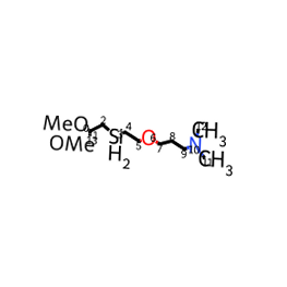 COC(C[SiH2]CCOCCCN(C)C)OC